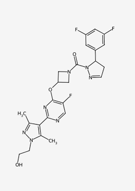 Cc1nn(CCO)c(C)c1-c1ncc(F)c(OC2CN(C(=O)N3N=CCC3c3cc(F)cc(F)c3)C2)n1